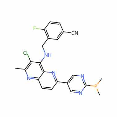 Cc1nc2ccc(-c3cnc(P(C)C)nc3)nc2c(NCc2cc(C#N)ccc2F)c1Cl